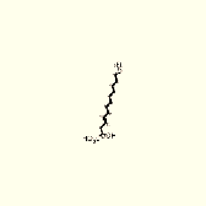 CCOCCCCCCCCC=CCC(O)C(=O)O